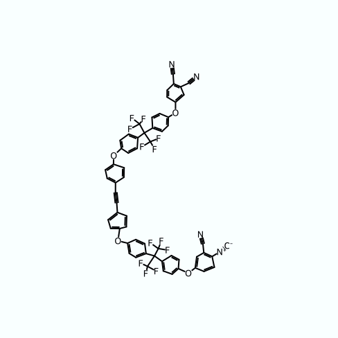 [C-]#[N+]c1ccc(Oc2ccc(C(c3ccc(Oc4ccc(C#Cc5ccc(Oc6ccc(C(c7ccc(Oc8ccc(C#N)c(C#N)c8)cc7)(C(F)(F)F)C(F)(F)F)cc6)cc5)cc4)cc3)(C(F)(F)F)C(F)(F)F)cc2)cc1C#N